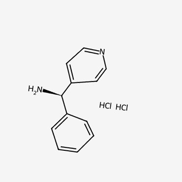 Cl.Cl.N[C@H](c1ccccc1)c1ccncc1